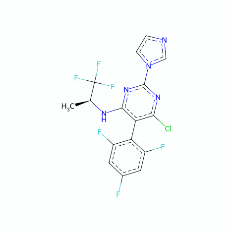 C[C@H](Nc1nc(-n2ccnc2)nc(Cl)c1-c1c(F)cc(F)cc1F)C(F)(F)F